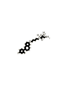 CC(N)(CN)C(=O)OCCCCCOc1ccc2c(c1)CCCC(c1ccc(F)cc1F)=C2